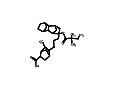 CCC(C)(C)C(=O)OC1(CCCC2C3CC(C(=O)O)C(C3)C2C)CC2CC1C1C3CCC(C3)C21